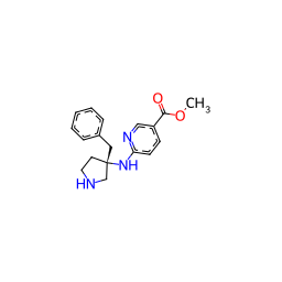 COC(=O)c1ccc(N[C@@]2(Cc3ccccc3)CCNC2)nc1